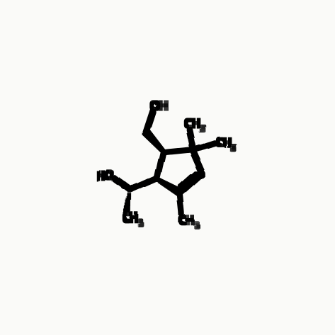 CC1=CC(C)(C)[C@H](CO)[C@@H]1[C@H](C)O